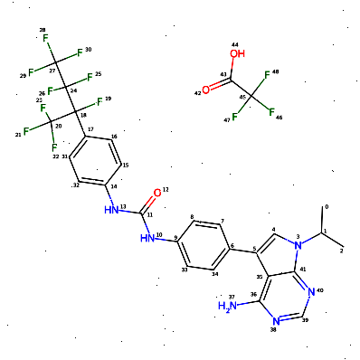 CC(C)n1cc(-c2ccc(NC(=O)Nc3ccc(C(F)(C(F)(F)F)C(F)(F)C(F)(F)F)cc3)cc2)c2c(N)ncnc21.O=C(O)C(F)(F)F